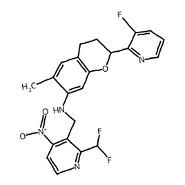 Cc1cc2c(cc1NCc1c([N+](=O)[O-])ccnc1C(F)F)OC(c1ncccc1F)CC2